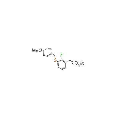 CCOC(=O)Cc1cccc(SCc2ccc(OC)cc2)c1F